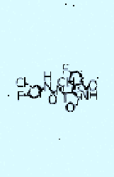 CN(C(=O)Nc1ccc(F)c(Cl)c1)[C@@H]1COCc2[nH]c(=O)c3ccc(F)cc3c21